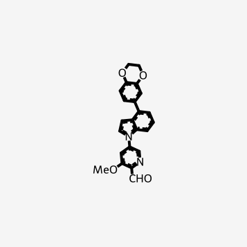 COc1cc(-n2ccc3c(-c4ccc5c(c4)OCCO5)cccc32)cnc1C=O